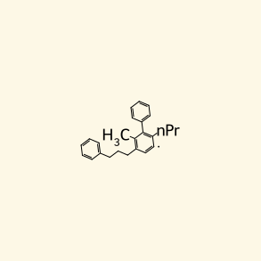 CCCc1[c]cc(CCCc2ccccc2)c(C)c1-c1ccccc1